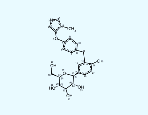 Cn1cncc1Oc1ccc(Cc2cc([C@@H]3O[C@H](CO)[C@@H](O)C(O)[C@H]3O)ccc2Cl)cc1